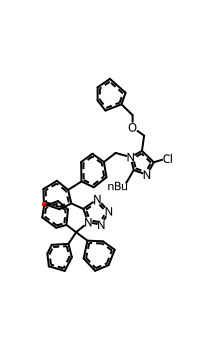 CCCCc1nc(Cl)c(COCc2ccccc2)n1Cc1ccc(-c2ccccc2-c2nnnn2C(c2ccccc2)(c2ccccc2)c2ccccc2)cc1